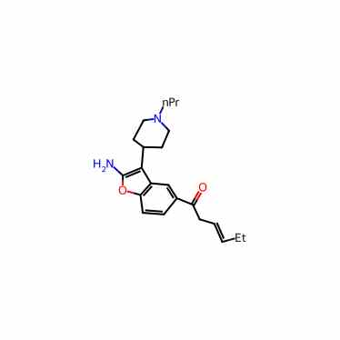 CCC=CCC(=O)c1ccc2oc(N)c(C3CCN(CCC)CC3)c2c1